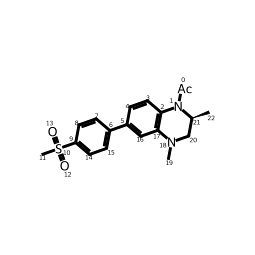 CC(=O)N1c2ccc(-c3ccc(S(C)(=O)=O)cc3)cc2N(C)C[C@@H]1C